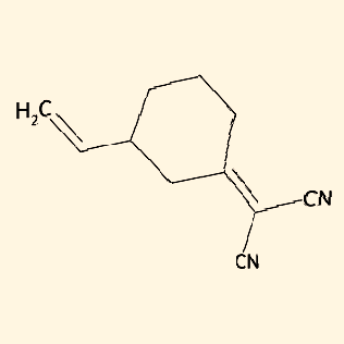 C=CC1CCCC(=C(C#N)C#N)C1